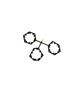 SC(c1ccccc1)(c1ccccc1)c1ccccc1.[K]